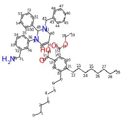 CCCCCCCCc1cc(C(=O)O)c(C(=O)OCC)cc1CCCCCCCC.NCc1cccc(N2C=CCN(Cc3ccccc3)C2c2ccccc2)c1